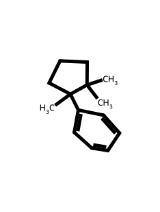 CC1(C)CCCC1(C)c1ccccc1